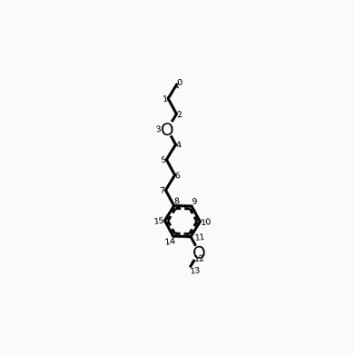 [CH2]CCOCCCCc1ccc(OC)cc1